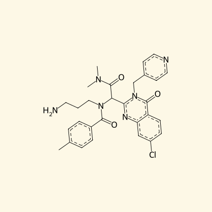 Cc1ccc(C(=O)N(CCCN)C(C(=O)N(C)C)c2nc3cc(Cl)ccc3c(=O)n2Cc2ccncc2)cc1